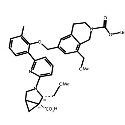 COCc1cc(COc2c(C)cccc2-c2cccc(N3CC4C[C@]4(C(=O)O)[C@H]3COC)n2)cc2c1CN(C(=O)OC(C)(C)C)CC2